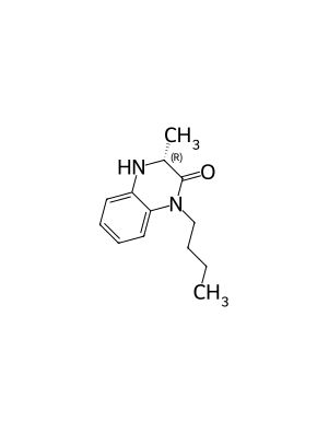 CCCCN1C(=O)[C@@H](C)Nc2ccccc21